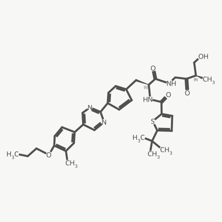 CCCOc1ccc(-c2cnc(-c3ccc(C[C@H](NC(=O)c4ccc(C(C)(C)C)s4)C(=O)NCC(=O)[C@H](C)CO)cc3)nc2)cc1C